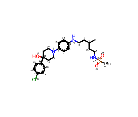 CC(CCNc1ccc(N2CCC(O)(c3ccc(Cl)cc3)CC2)cc1)CCNS(=O)(=O)C(C)(C)C